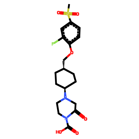 CS(=O)(=O)c1ccc(OC[C@H]2CC[C@H](N3CCN(C(=O)O)C(=O)C3)CC2)c(F)c1